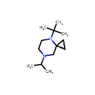 CC(C)N1CCN(C(C)(C)C)C2(CC2)C1